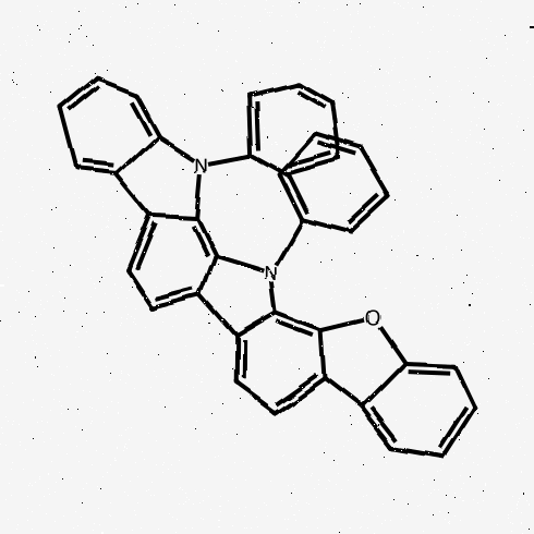 c1ccc(-n2c3ccccc3c3ccc4c5ccc6c7ccccc7oc6c5n(-c5ccccc5)c4c32)cc1